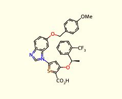 COc1ccc(COc2ccc3ncn(-c4cc(O[C@H](C)c5ccccc5C(F)(F)F)c(C(=O)O)s4)c3c2)cc1